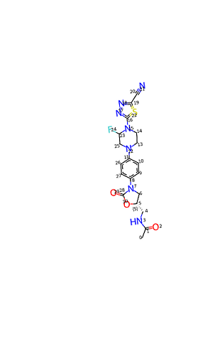 CC(=O)NC[C@H]1CN(c2ccc(N3CCN(c4nnc(C#N)s4)C(F)C3)cc2)C(=O)O1